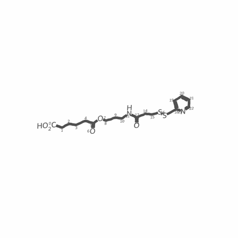 O=C(O)CCCCC(=O)OCCCNC(=O)CCSSc1ccccn1